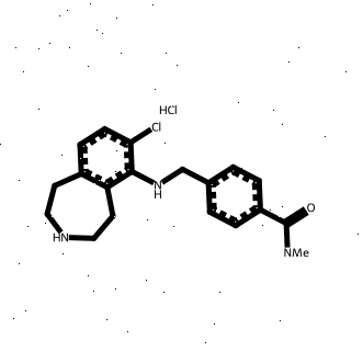 CNC(=O)c1ccc(CNc2c(Cl)ccc3c2CCNCC3)cc1.Cl